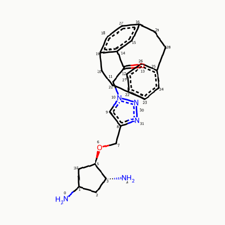 NC1C[C@@H](N)[C@H](OCc2cn(CC(=O)c3cc4ccc3CCc3ccc(cc3)CC4)nn2)C1